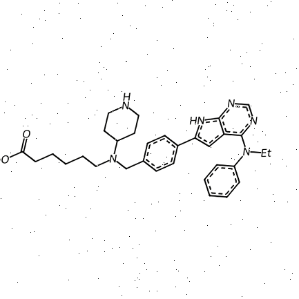 CCN(c1ccccc1)c1ncnc2[nH]c(-c3ccc(CN(CCCCCC(=O)OC)C4CCNCC4)cc3)cc12